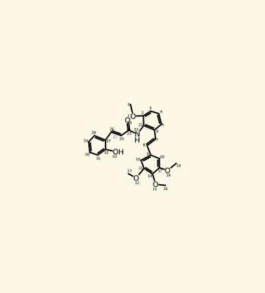 COc1cccc(C=Cc2cc(OC)c(OC)c(OC)c2)c1NC(=O)/C=C/c1ccccc1O